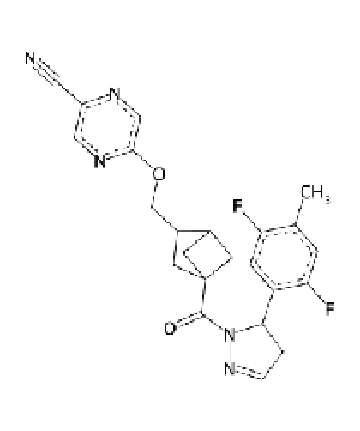 Cc1cc(F)c(C2CC=NN2C(=O)C23CC(COc4cnc(C#N)cn4)C(C2)C3)cc1F